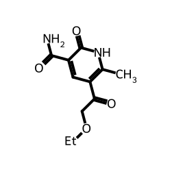 CCOCC(=O)c1cc(C(N)=O)c(=O)[nH]c1C